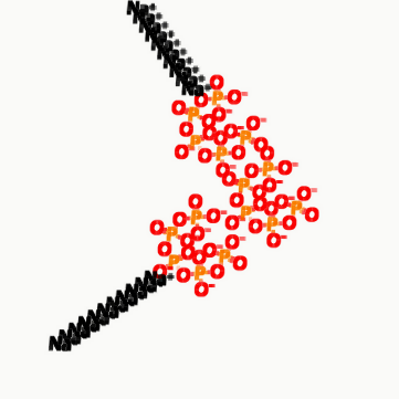 O=P([O-])([O-])OP(=O)([O-])OP(=O)([O-])OP(=O)([O-])OP(=O)([O-])[O-].O=P([O-])([O-])OP(=O)([O-])OP(=O)([O-])OP(=O)([O-])OP(=O)([O-])[O-].O=P([O-])([O-])OP(=O)([O-])OP(=O)([O-])OP(=O)([O-])OP(=O)([O-])[O-].[Na+].[Na+].[Na+].[Na+].[Na+].[Na+].[Na+].[Na+].[Na+].[Na+].[Na+].[Na+].[Na+].[Na+].[Na+].[Na+].[Na+].[Na+].[Na+].[Na+].[Na+]